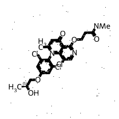 CNC(=O)CCOc1ncc(Cl)c2c1c(=O)cc(C)n2-c1c(Cl)cc(OC[C@H](C)O)cc1Cl